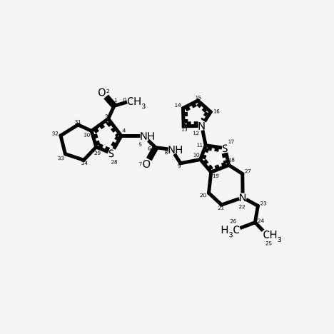 CC(=O)c1c(NC(=O)NCc2c(-n3cccc3)sc3c2CCN(CC(C)C)C3)sc2c1CCCC2